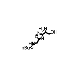 CCCCSNCc1nc(C(N)CO)no1